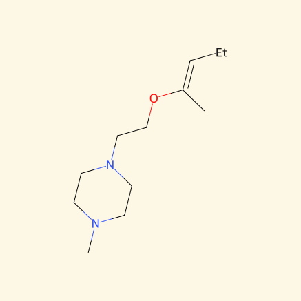 CC/C=C(\C)OCCN1CCN(C)CC1